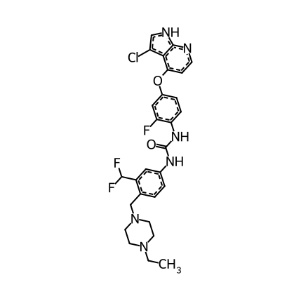 CCN1CCN(Cc2ccc(NC(=O)Nc3ccc(Oc4ccnc5[nH]cc(Cl)c45)cc3F)cc2C(F)F)CC1